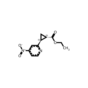 CCOC(=O)[C@H]1C[C@@H]1c1cc([N+](=O)[O-])ccn1